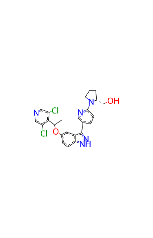 CC(Oc1ccc2[nH]nc(-c3ccc(N4CCC[C@@H]4CO)nc3)c2c1)c1c(Cl)cncc1Cl